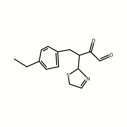 CCc1ccc(CC(C(=O)C=O)C2N=CCS2)cc1